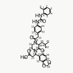 Cc1ccccc1NC(=O)Nc1ccc(CC(=O)N2CCN(C(CC(=O)O)c3ccc4c(c3)OCO4)C(=O)C2CC(C)C)cc1